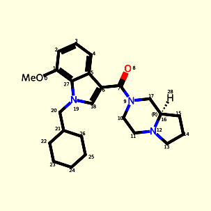 COc1cccc2c(C(=O)N3CCN4CCC[C@@H]4C3)cn(CC3CCCCC3)c12